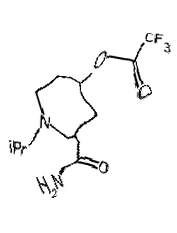 CC(C)N1CCC(OC(=O)C(F)(F)F)CC1C(N)=O